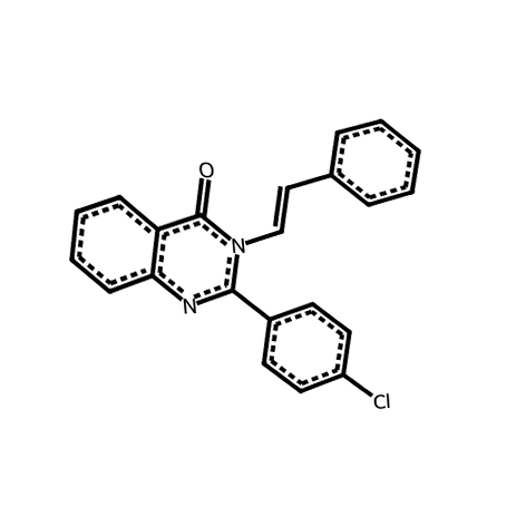 O=c1c2ccccc2nc(-c2ccc(Cl)cc2)n1C=Cc1ccccc1